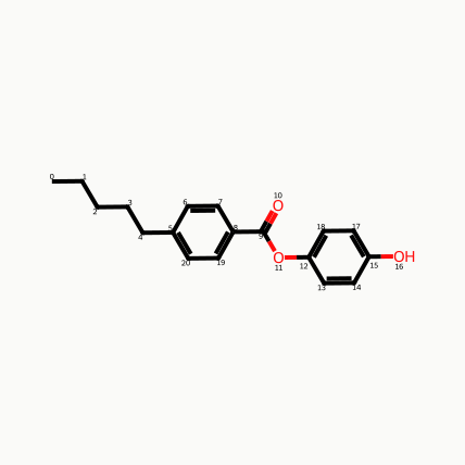 CCCCCc1ccc(C(=O)Oc2ccc(O)cc2)cc1